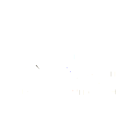 C[C@H]1OCC(NC(=O)OC(C)(C)C)(c2ccccc2F)[C@@H]1CO